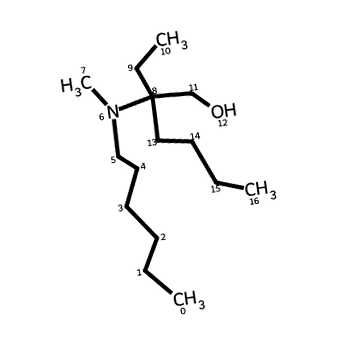 CCCCCCN(C)C(CC)(CO)CCCC